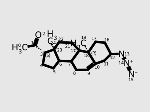 CC(=O)[C@H]1CCC2C3CC=C4CC(N=[N+]=[N-])CC[C@]4(C)C3CC[C@@]21C